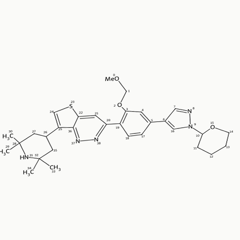 COCOc1cc(-c2cnn(C3CCCCO3)c2)ccc1-c1cc2scc(C3CC(C)(C)NC(C)(C)C3)c2nn1